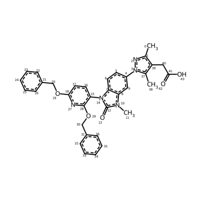 Cc1nn(-c2ccc3c(c2)n(C)c(=O)n3-c2ccc(OCc3ccccc3)nc2OCc2ccccc2)c(C)c1CC(=O)O